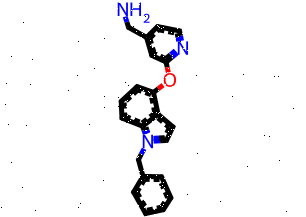 NCc1ccnc(Oc2cccc3c2ccn3Cc2ccccc2)c1